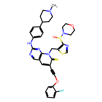 CN1CCC(c2ccc(Nc3ncc4cc(C#COc5ccccc5F)c(=S)n(Cc5scnc5[S+]([O-])N5CCOCC5)c4n3)cc2)CC1